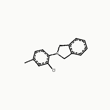 Cc1ccc(N2Cc3ccccc3C2)c(Cl)c1